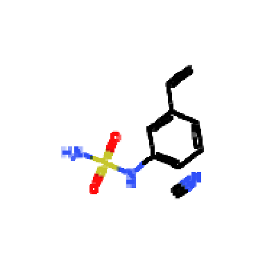 C#N.C=Cc1cccc(NS(N)(=O)=O)c1